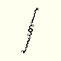 O=C(CC1CCC(CC(=O)OCCCCCCCCC2CO2)CC1)OCCCCCCCCC1CO1